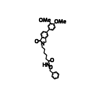 COc1ccc(-c2ccc3c(c2)CN(CCCCCC(=O)NOCc2ccccc2)C3=O)cc1OC